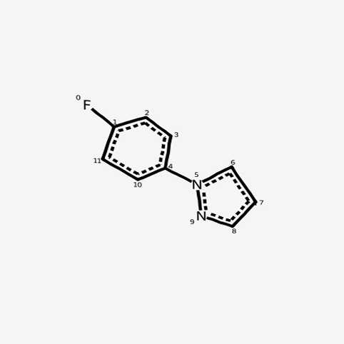 Fc1ccc(-n2c[c]cn2)cc1